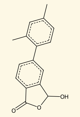 Cc1ccc(-c2ccc3c(c2)C(O)OC3=O)c(C)c1